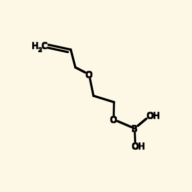 C=CCOCCOB(O)O